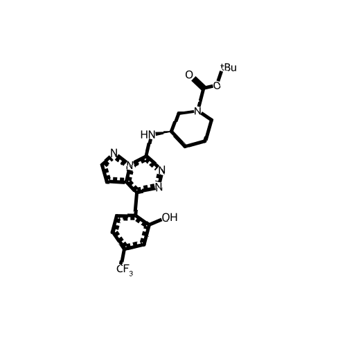 CC(C)(C)OC(=O)N1CCC[C@@H](Nc2nnc(-c3ccc(C(F)(F)F)cc3O)c3ccnn23)C1